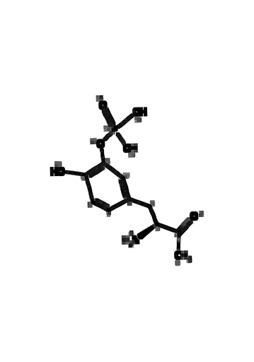 CC(=O)[C@@H](N)Cc1ccc(O)c(OP(=O)(O)O)c1